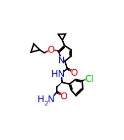 NC(=O)C[C@@H](NC(=O)c1ccc(C2CC2)c(OCC2CC2)n1)c1cccc(Cl)c1